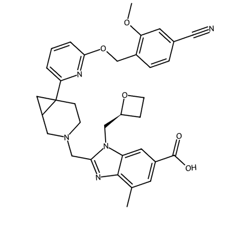 COc1cc(C#N)ccc1COc1cccc(C23CCN(Cc4nc5c(C)cc(C(=O)O)cc5n4C[C@@H]4CCO4)CC2C3)n1